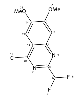 COc1cc2nc(C(F)F)nc(Cl)c2cc1OC